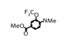 CNc1ccc(C(=O)OC)cc1OC(F)(F)F